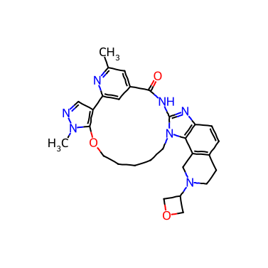 Cc1cc2cc(n1)-c1cnn(C)c1OCCCCCn1c(nc3ccc4c(c31)CN(C1COC1)CC4)NC2=O